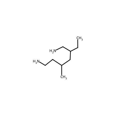 CCC(CN)CC(C)CCN